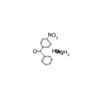 Br.O=C(c1ccccc1)c1ccc([N+](=O)[O-])cc1.[MgH2]